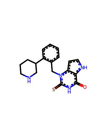 O=c1[nH]c(=S)n(Cc2ccccc2C2CCCNC2)c2cc[nH]c12